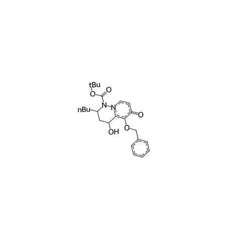 CCCCC1CC(O)c2c(OCc3ccccc3)c(=O)ccn2N1C(=O)OC(C)(C)C